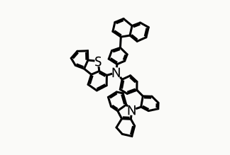 C1=Cc2c(c3ccccc3n2-c2ccccc2-c2ccc(N(c3ccc(-c4cccc5ccccc45)cc3)c3cccc4c3sc3ccccc34)cc2)CC1